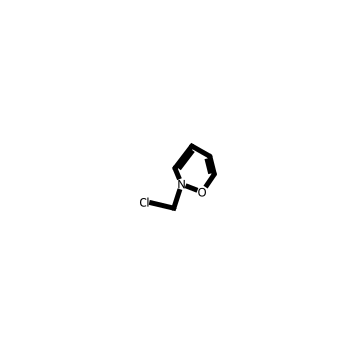 ClCN1C=CC=CO1